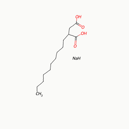 CCCCCCCCCCC(CC(=O)O)C(=O)O.[NaH]